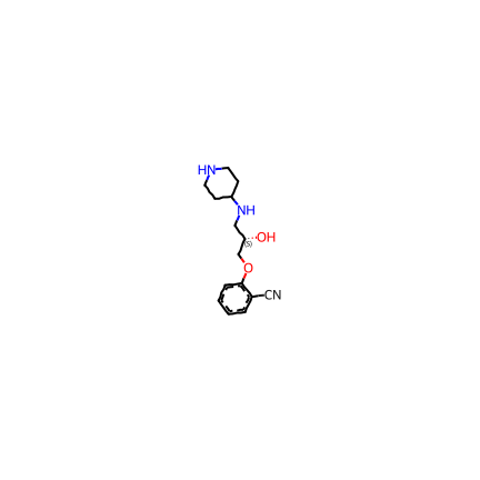 N#Cc1ccccc1OC[C@@H](O)CNC1CCNCC1